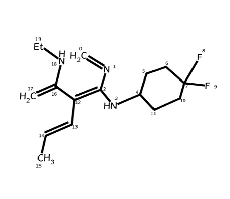 C=N/C(NC1CCC(F)(F)CC1)=C(/C=CC)C(=C)NCC